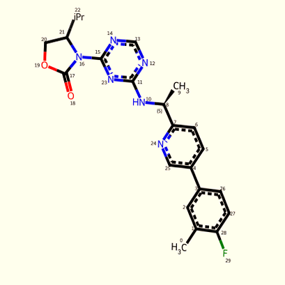 Cc1cc(-c2ccc([C@H](C)Nc3ncnc(N4C(=O)OCC4C(C)C)n3)nc2)ccc1F